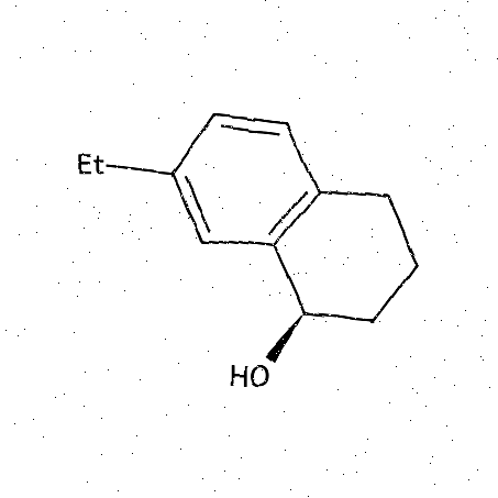 CCc1ccc2c(c1)[C@H](O)CCC2